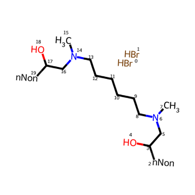 Br.Br.CCCCCCCCCC(O)CN(C)CCCCCCN(C)CC(O)CCCCCCCCC